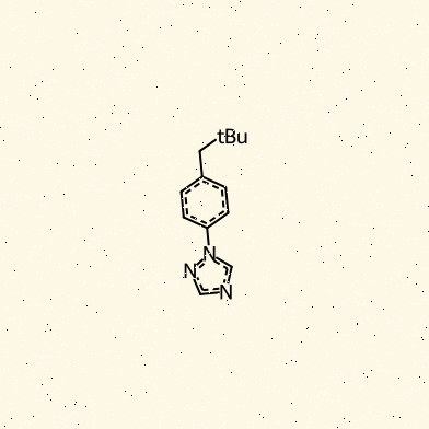 CC(C)(C)Cc1ccc(-n2cncn2)cc1